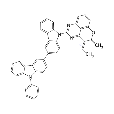 C=C1Oc2cccc3nc(-n4c5ccccc5c5cc(-c6ccc7c(c6)c6ccccc6n7-c6ccccc6)ccc54)nc(c23)/C1=C/C